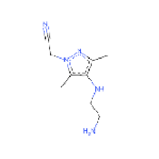 Cc1nn(CC#N)c(C)c1NCCN